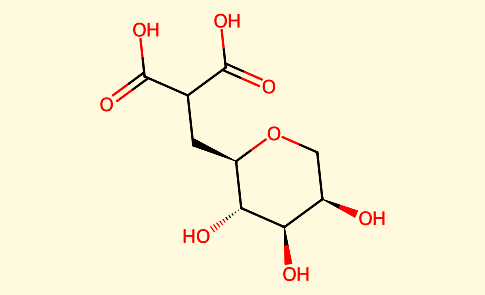 O=C(O)C(C[C@H]1OC[C@@H](O)[C@@H](O)[C@@H]1O)C(=O)O